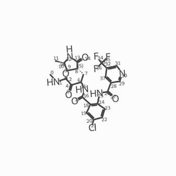 CNC(=O)C(=O)C(C[C@@H]1C[C@@H](C)NC1=O)NC(=O)c1cc(Cl)ccc1NC(=O)c1cncc(C(F)(F)F)c1